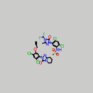 C#CCOc1cc(-n2nc3n(c2=O)CCCC3)c(Cl)cc1Cl.Cc1nn(-c2cc(NS(C)(=O)=O)c(Cl)cc2Cl)c(=O)n1C(F)F